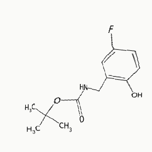 CC(C)(C)OC(=O)NCc1cc(F)ccc1O